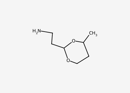 CC1CCOC(CCN)O1